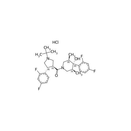 C[C@@H]1CN(C(=O)[C@@H]2CN(C(C)(C)C)C[C@H]2c2ccc(F)cc2F)C[C@H](C)[C@]1(O)c1ccc(F)cc1F.Cl